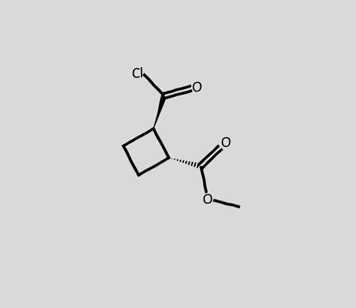 COC(=O)[C@@H]1CC[C@H]1C(=O)Cl